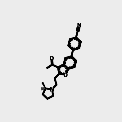 CC(=O)c1c(CCN2CCC[C@H]2C)oc2ccc(-c3ccc(C#N)cc3)cc12